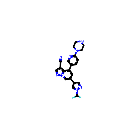 N#Cc1cnn2cc(-c3cnn(C(F)F)c3)cc(-c3ccc(N4CCNCC4)nc3)c12